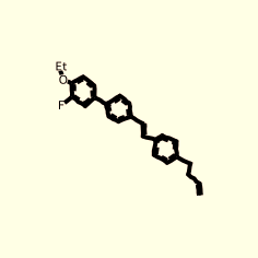 C=CCCc1ccc(/C=C/c2ccc(-c3ccc(OCC)c(F)c3)cc2)cc1